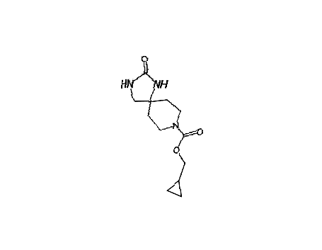 O=C1NCC2(CCN(C(=O)OCC3CC3)CC2)N1